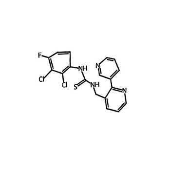 Fc1ccc(NC(=S)NCc2cccnc2-c2cccnc2)c(Cl)c1Cl